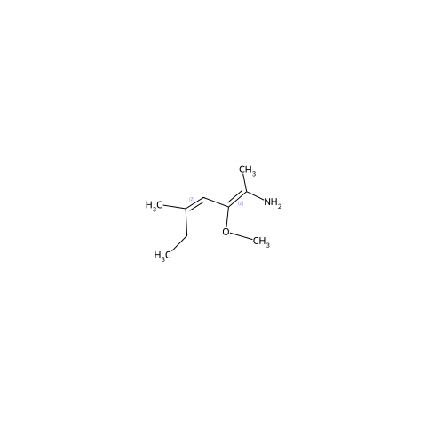 CC/C(C)=C\C(OC)=C(/C)N